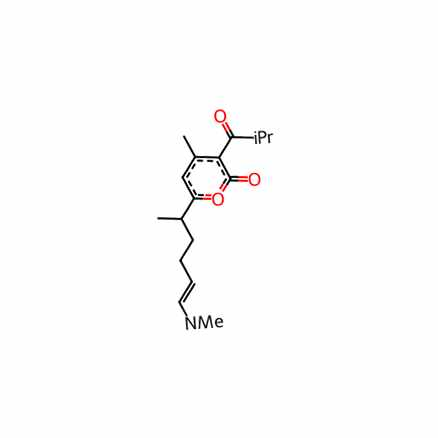 CN/C=C/CCC(C)c1cc(C)c(C(=O)C(C)C)c(=O)o1